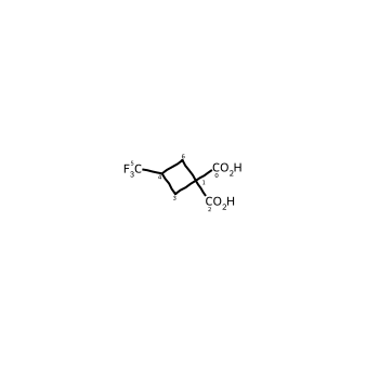 O=C(O)C1(C(=O)O)CC(C(F)(F)F)C1